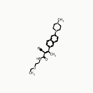 CCOCCNC(=O)/C(C#N)=C(\C)c1ccc2cc(N3CCN(C)CC3)ccc2c1